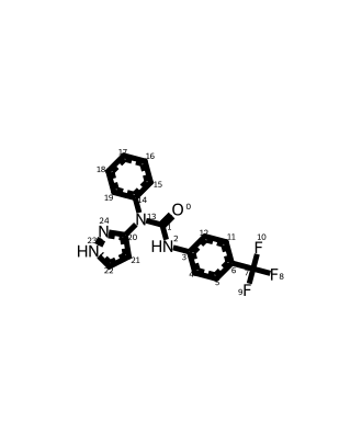 O=C(Nc1ccc(C(F)(F)F)cc1)N(c1ccccc1)c1cc[nH]n1